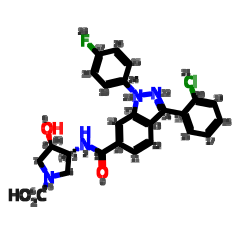 O=C(N[C@@H]1CN(C(=O)O)C[C@H]1O)c1ccc2c(-c3ccccc3Cl)nn(-c3ccc(F)cc3)c2c1